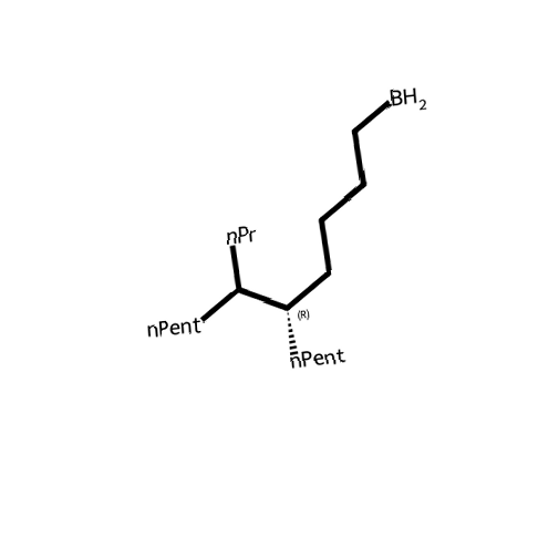 BCCCC[C@H](CCCCC)C(CCC)CCCCC